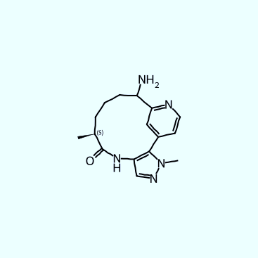 C[C@H]1CCCC(N)c2cc(ccn2)-c2c(cnn2C)NC1=O